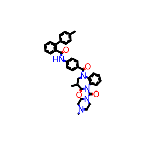 Cc1ccc(-c2ccccc2C(=O)Nc2ccc(C(=O)N3CC(C)C(=O)N(C(=O)N4CCN(C)CC4)c4ccccc43)cc2)cc1